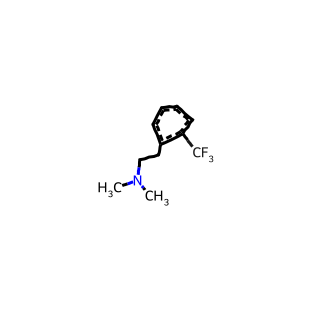 CN(C)CCc1ccccc1C(F)(F)F